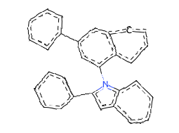 c1ccc(-c2cc(-n3c(-c4ccccc4)cc4ccccc43)c3ccccc3c2)cc1